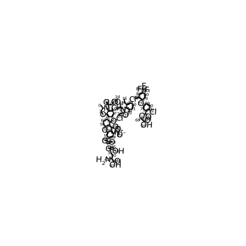 CC1COc2ccccc2N1C(=O)C(Cl)Cl.CCc1cccc(C)c1N(C(=O)CCl)C(C)COC.CP(=O)(O)CCC(N)C(=O)O.CS(=O)(=O)c1ccc(C(=O)C2C(=O)CCCC2=O)c([N+](=O)[O-])c1.C[C@H](OC(=O)c1cc(Oc2ccc(C(F)(F)F)cc2Cl)ccc1Cl)C(=O)O